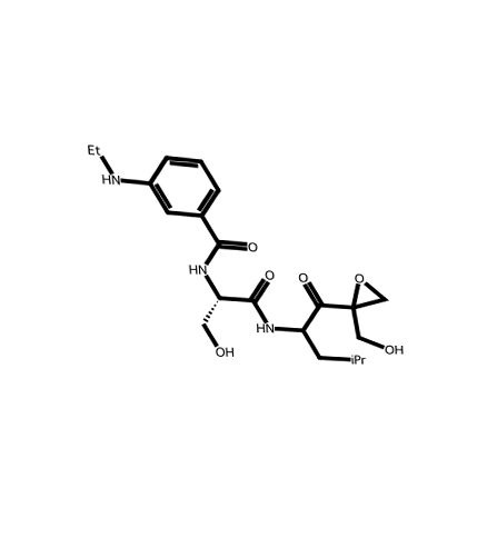 CCNc1cccc(C(=O)N[C@@H](CO)C(=O)NC(CC(C)C)C(=O)C2(CO)CO2)c1